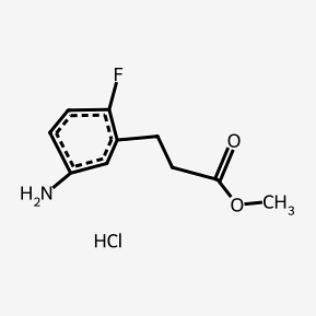 COC(=O)CCc1cc(N)ccc1F.Cl